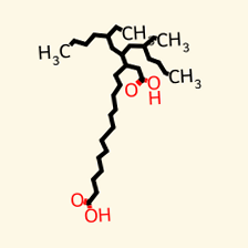 CCCCC(CC)CC(CC(CC)CCCC)C(CCCCCCCCCCCCC(=O)O)CC(=O)O